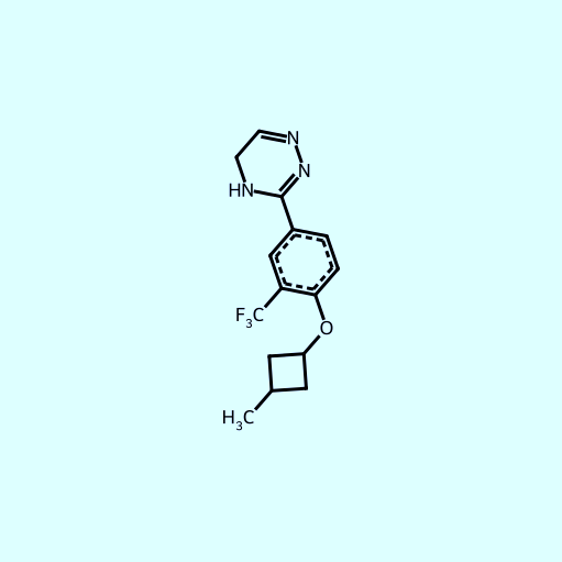 CC1CC(Oc2ccc(C3=NN=CCN3)cc2C(F)(F)F)C1